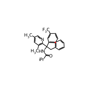 Cc1cnc(C(Cc2ccccc2)(NC(=O)C(C)C)c2cccc(C(F)(F)F)c2)c(C)c1